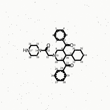 O=C(c1ccccc1)C1CN(CC(=O)N2CCNCC2)CC(C(=O)c2ccccc2)C1C1CCCCC1